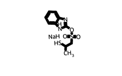 CC(S)CS(=O)(=O)Oc1nc2ccccc2[nH]1.[NaH]